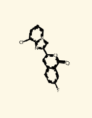 O=c1oc(-c2cn3cccc(Cl)c3n2)cc2ccc(F)cc12